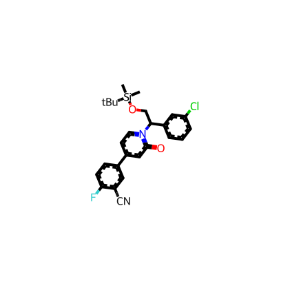 CC(C)(C)[Si](C)(C)OCC(c1cccc(Cl)c1)n1ccc(-c2ccc(F)c(C#N)c2)cc1=O